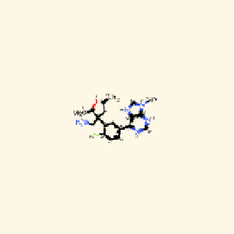 C=CCC(CN)(C(=O)OC)c1cc(-c2ncnc3c2ncn3C(C)C)ccc1F